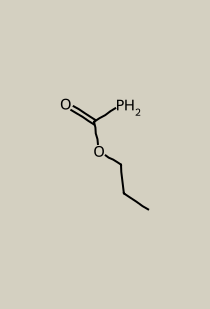 CCCOC(=O)P